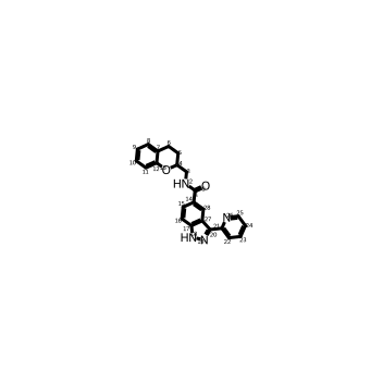 O=C(NCC1CCc2ccccc2O1)c1ccc2[nH]nc(-c3ccccn3)c2c1